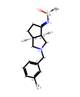 CC(C)(C)[S@+]([O-])N=C1CC[C@@H]2CN(Cc3cccc(C(F)(F)F)c3)C[C@H]12